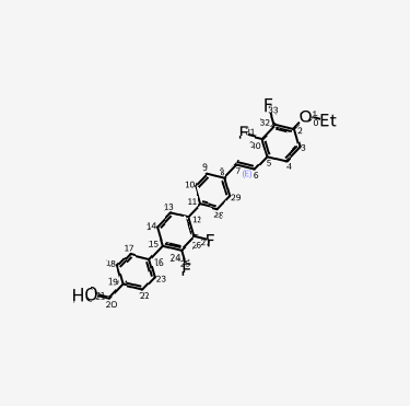 CCOc1ccc(/C=C/c2ccc(-c3ccc(-c4ccc(CO)cc4)c(F)c3F)cc2)c(F)c1F